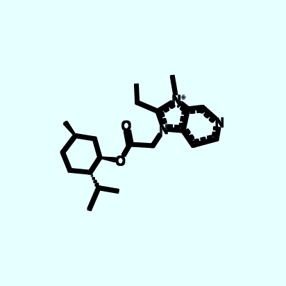 CCc1n(CC(=O)O[C@@H]2C[C@H](C)CC[C@H]2C(C)C)c2ccncc2[n+]1C